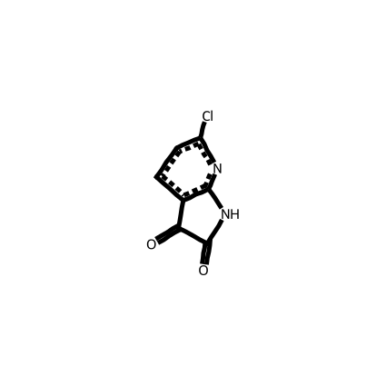 O=C1Nc2nc(Cl)ccc2C1=O